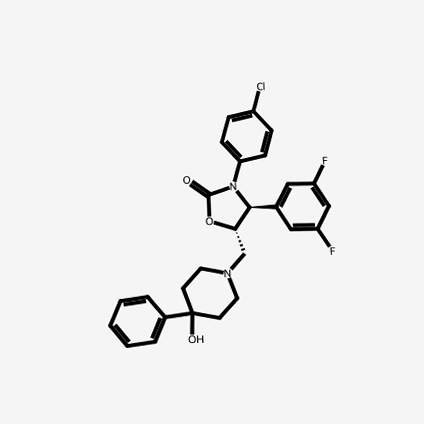 O=C1O[C@@H](CN2CCC(O)(c3ccccc3)CC2)[C@H](c2cc(F)cc(F)c2)N1c1ccc(Cl)cc1